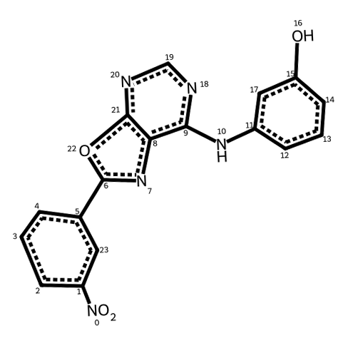 O=[N+]([O-])c1cccc(-c2nc3c(Nc4cccc(O)c4)ncnc3o2)c1